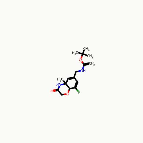 C=C(NCC1=CC2(C)NC(=O)COC2C(F)=C1)OC(C)(C)C